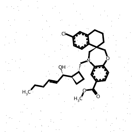 CCCC=C[C@H](O)[C@@H]1CC[C@H]1CN1C[C@@]2(CCCc3cc(Cl)ccc32)COc2ccc(C(=O)OC)cc21